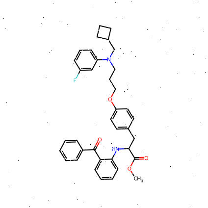 COC(=O)C(Cc1ccc(OCCCN(CC2CCC2)c2cccc(F)c2)cc1)Nc1ccccc1C(=O)c1ccccc1